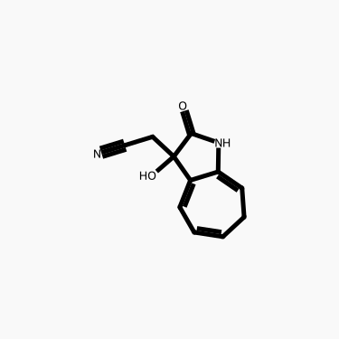 N#CCC1(O)C(=O)NC2=CCC=CC=C21